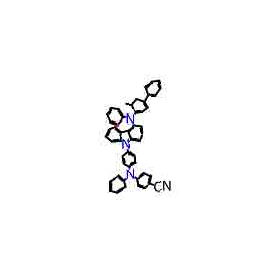 CC1CC(c2ccccc2)=CC=C1N(c1ccccc1)c1cccc2c1c1ccccc1n2-c1ccc(N(c2ccccc2)c2ccc(C#N)cc2)cc1